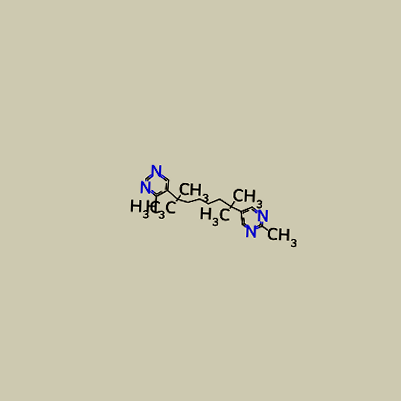 Cc1ncc(C(C)(C)CCCCC(C)(C)c2cncnc2C)cn1